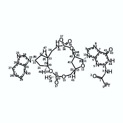 CC(C)C(=O)Nc1nc2c(ncn2[C@@H]2O[C@@H]3CO[P@](=O)(S)O[C@H]4C[C@H](n5cnc6cncnc65)C[C@@H]4CNS(=O)(=O)O[C@@H]2C3)c(=O)[nH]1